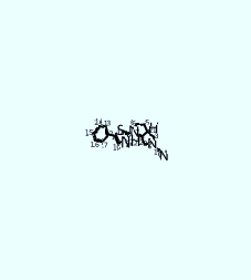 N#CN1C[C@@H]2CCN(c3ncc(-c4ccccc4)s3)[C@@H]2C1